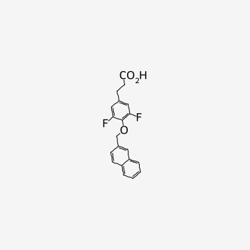 O=C(O)CCc1cc(F)c(OCc2ccc3ccccc3c2)c(F)c1